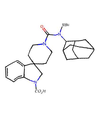 CC(C)(C)N(C(=O)N1CCC2(CC1)CN(C(=O)O)c1ccccc12)C1C2CC3CC(C2)CC1C3